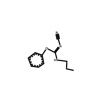 CCCN/C(=N/C#N)Oc1ccccc1